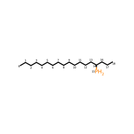 CCCCCCCCCCCCCCC(P)CCC